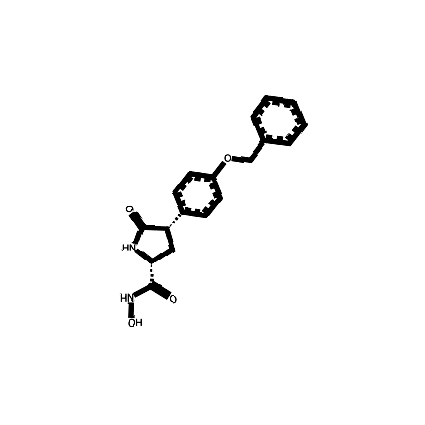 O=C1N[C@@H](C(=O)NO)C[C@H]1c1ccc(OCc2ccccc2)cc1